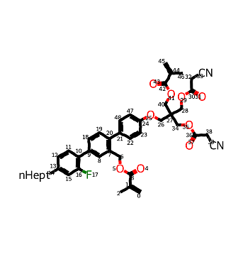 C=C(C)C(=O)OCc1cc(-c2ccc(CCCCCCC)cc2F)ccc1-c1ccc(OCC(COC(=O)CC#N)(COC(=O)CC#N)COC(=O)C(=C)C)cc1